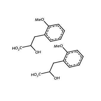 COc1ccccc1CC(O)C(=O)O.COc1ccccc1CC(O)C(=O)O